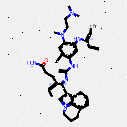 C=C/C(=C/CCC)Nc1cc(NC(=C)/N=C(\C(=C/C)CCC(N)=O)c2cn3c4c(cccc24)CCC3)c(C)cc1N(C)CCN(C)C